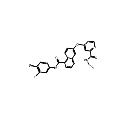 CNC(=O)c1cc(Oc2ccc3c(C(=O)Nc4ccc(F)c(F)c4)cccc3c2)ccn1